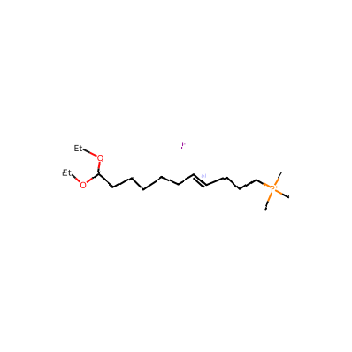 CCOC(CCCCC/C=C/CCC[P+](C)(C)C)OCC.[I-]